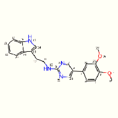 COc1ccc(-c2cnc(NCCc3[c][nH]c4ccccc34)nc2)cc1OC